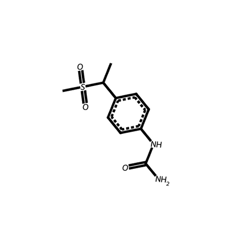 CC(c1ccc(NC(N)=O)cc1)S(C)(=O)=O